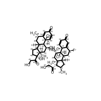 C[C@@H]1C[C@H]2[C@@H]3C[C@H](F)C4=CC(=O)C=C[C@]4(C)[C@@]3(Cl)[C@@H](O)C[C@]2(C)[C@H]1C(=O)CO.C[C@H]1C[C@@H]2[C@H]([C@@H](O)C[C@@]3(C)[C@H]2CC[C@]3(O)C(=O)CO)[C@@]2(C)C=CC(=O)C=C12